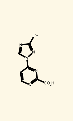 CC(C)c1ncn(-c2ccnc(C(=O)O)n2)n1